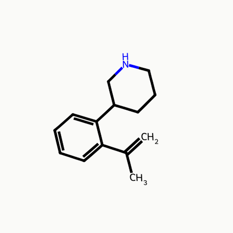 C=C(C)c1ccccc1C1CCCNC1